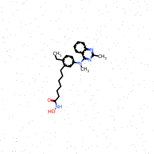 CCc1ccc(N(C)c2nc(C)nc3ccccc23)cc1CCCCCCC(=O)NO